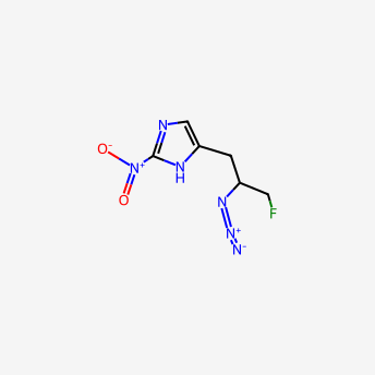 [N-]=[N+]=NC(CF)Cc1cnc([N+](=O)[O-])[nH]1